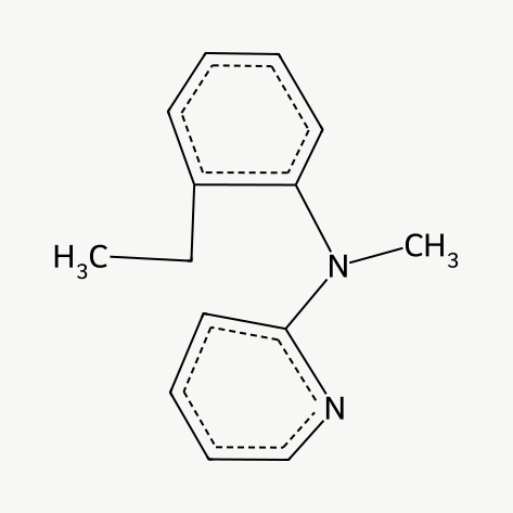 CCc1ccccc1N(C)c1ccccn1